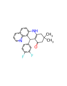 CC1(C)CC(=O)C2=C(C1)Nc1ccc3cccnc3c1C2c1ccc(F)c(F)c1